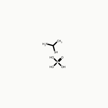 CC(N)S.O=P(O)(O)O